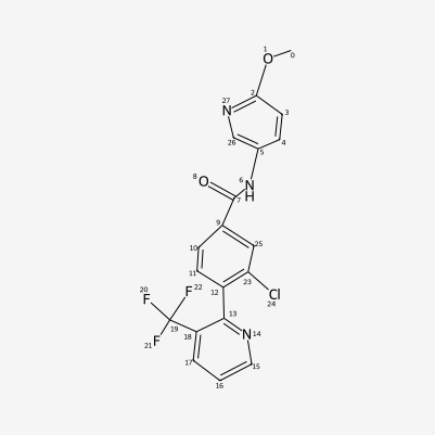 COc1ccc(NC(=O)c2ccc(-c3ncccc3C(F)(F)F)c(Cl)c2)cn1